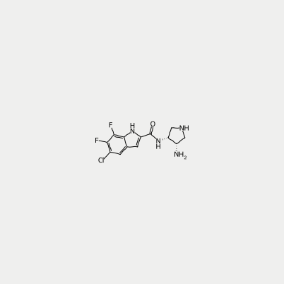 N[C@H]1CNC[C@H]1NC(=O)c1cc2cc(Cl)c(F)c(F)c2[nH]1